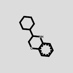 c1ccc2c(c1)NC(C1CCCCC1)CO2